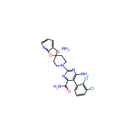 NC(=O)c1nc(N2CCC3(CC2)Oc2ncccc2[C@@H]3N)nc(N)c1-c1cccc(Cl)c1Cl